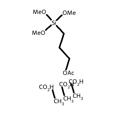 CC(=O)O.CC(=O)O.CC(=O)O.CO[Si](CCCOC(C)=O)(OC)OC